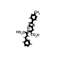 Cc1ccc(-c2nc(C[C@H](N[C@@H](CCc3ccccc3)C(=O)O)C(=O)O)cs2)cc1